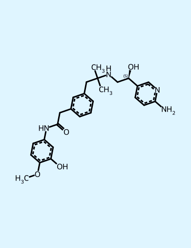 COc1ccc(NC(=O)Cc2cccc(CC(C)(C)NC[C@@H](O)c3ccc(N)nc3)c2)cc1O